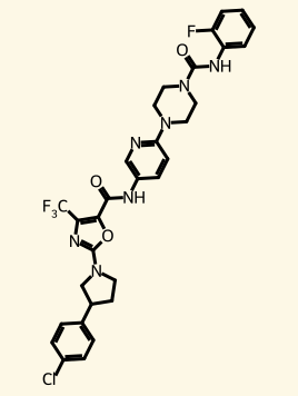 O=C(Nc1ccc(N2CCN(C(=O)Nc3ccccc3F)CC2)nc1)c1oc(N2CCC(c3ccc(Cl)cc3)C2)nc1C(F)(F)F